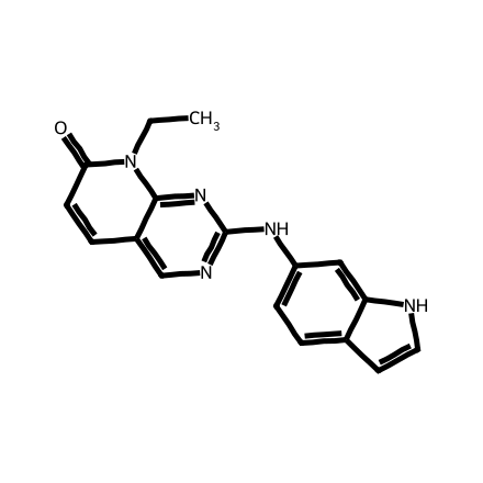 CCn1c(=O)ccc2cnc(Nc3ccc4cc[nH]c4c3)nc21